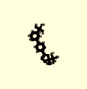 OC1(C(F)(F)F)CC(c2ccc(-c3cc(C(F)(F)F)ccn3)cc2)=NO1